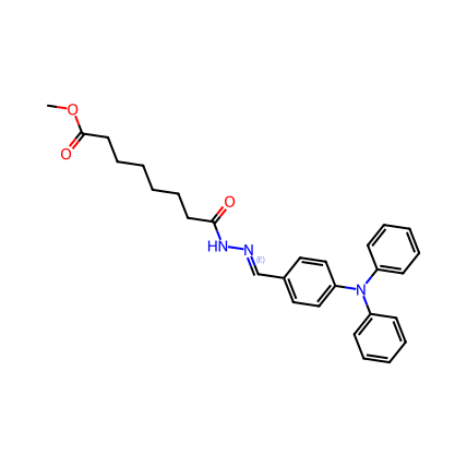 COC(=O)CCCCCCC(=O)N/N=C/c1ccc(N(c2ccccc2)c2ccccc2)cc1